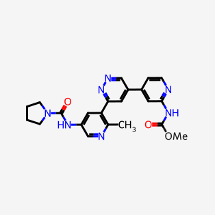 COC(=O)Nc1cc(-c2cnnc(-c3cc(NC(=O)N4CCCC4)cnc3C)c2)ccn1